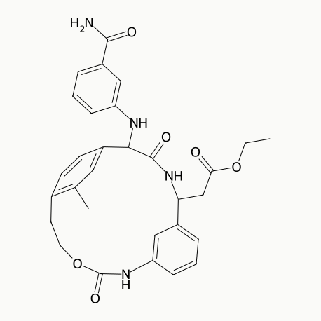 CCOC(=O)CC1NC(=O)C(Nc2cccc(C(N)=O)c2)c2ccc(c(C)c2)CCOC(=O)Nc2cccc1c2